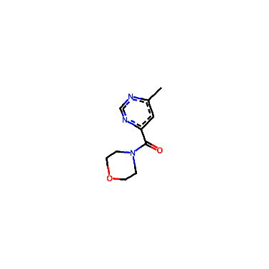 Cc1cc(C(=O)N2CCOCC2)ncn1